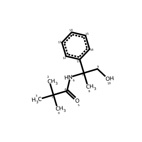 CC(C)(C)C(=O)NC(C)(CO)c1ccccc1